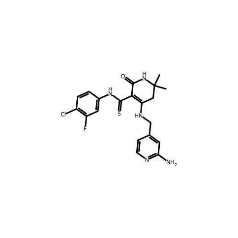 CC1(C)CC(NCc2ccnc(N)c2)=C(C(=S)Nc2ccc(Cl)c(F)c2)C(=O)N1